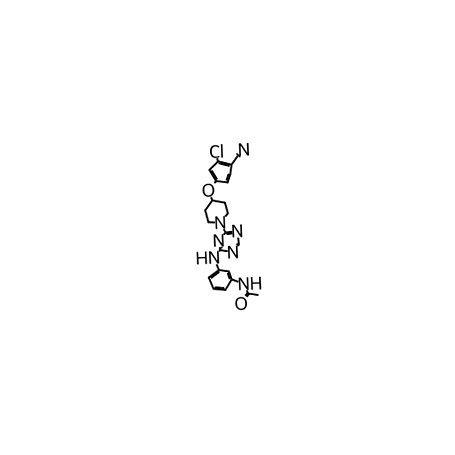 CC(=O)Nc1cccc(Nc2ncnc(N3CCC(Oc4ccc(C#N)c(Cl)c4)CC3)n2)c1